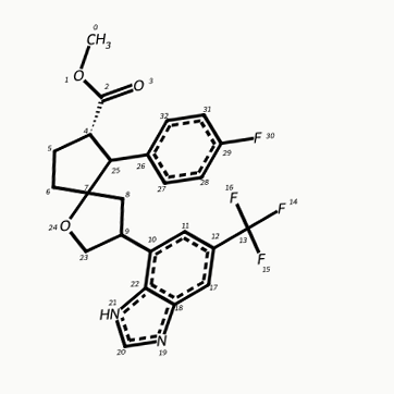 COC(=O)[C@H]1CCC2(CC(c3cc(C(F)(F)F)cc4nc[nH]c34)CO2)C1c1ccc(F)cc1